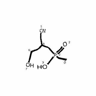 CP(=O)(O)C(C#N)CO